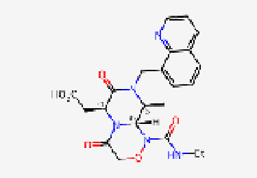 CCNC(=O)N1OCC(=O)N2[C@@H]1[C@H](C)N(Cc1cccc3cccnc13)C(=O)[C@@H]2CC(=O)O